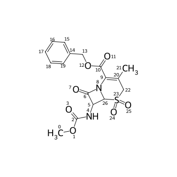 COC(=O)NC1C(=O)N2C(C(=O)OCc3ccccc3)=C(C)CS(=O)(=O)C12